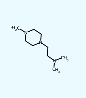 [CH2]N1CCN(CCN(C)C)CC1